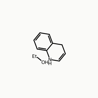 C1=CNc2ccccc2C1.CCO